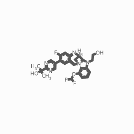 CC(C)(O)c1ncc(-c2cc3c(cc2F)=N[C@@H]2C[N@@+]4(C=3)c3c(OC(F)F)cccc3N(CCO)C24)cn1